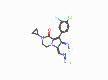 C=N/C=C1\C(=N/C)C(c2ccc(Cl)c(F)c2)=C2C(=O)N(C3CC3)CCN21